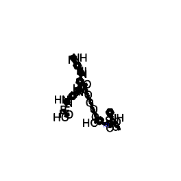 CCOC(=O)C1=C(Nc2ccccc2)S/C(=C\c2ccc(OCCOCCOCCOCCNC(=O)c3cc(-c4cn(-c5ccc(C6=NCCN6)cc5)nn4)ccc3-c3cn(-c4ccc(C5=NCCN5)cc4)nn3)c(O)c2)C1=O.O=C(O)C(F)(F)F